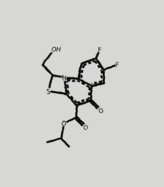 CC(C)OC(=O)c1c2n(c3cc(F)c(F)cc3c1=O)C(CO)S2